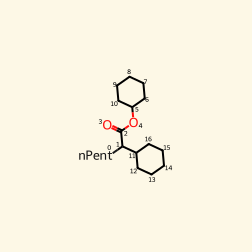 CCCCCC(C(=O)OC1CCCCC1)C1CCCCC1